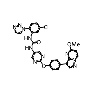 COc1ccn2ncc(-c3ccc(Oc4ncc(NC(=O)Nc5cc(Cl)ccc5-n5ccnn5)cn4)cc3)c2n1